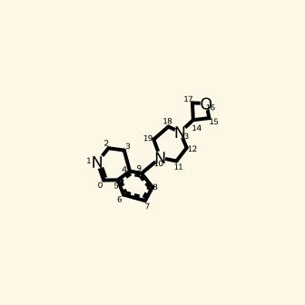 C1=NCCc2c1cccc2N1CCN(C2COC2)CC1